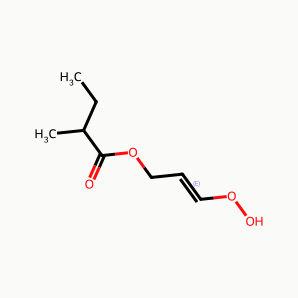 CCC(C)C(=O)OC/C=C/OO